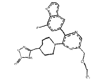 O=S1NC(C2CCN(c3nc(COCC(F)(F)F)cnc3-c3cc(F)c4occc4c3)CC2)=NO1